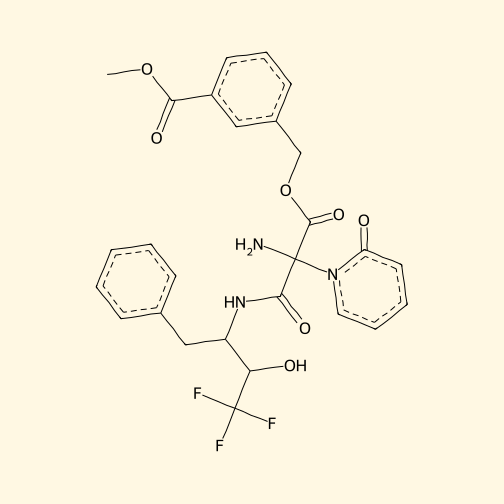 COC(=O)c1cccc(COC(=O)C(N)(C(=O)NC(Cc2ccccc2)C(O)C(F)(F)F)n2ccccc2=O)c1